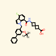 [2H]C([2H])([2H])Oc1cc(-c2ccccc2)ccc1Cn1ccc2c(F)ccc(C(=O)NC3CC4(C3)CC(C(=O)O)C4)c21